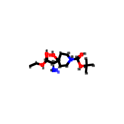 CCOC(=O)[C@@H](N)C1(O)CCN(C(=O)OC(C)(C)C)CC1